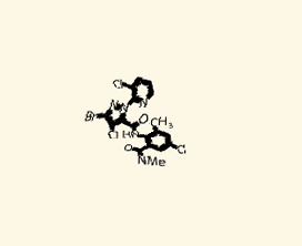 CNC(=O)c1cc(Cl)cc(C)c1NC(=O)c1c(Cl)c(Br)nn1-c1ncccc1Cl